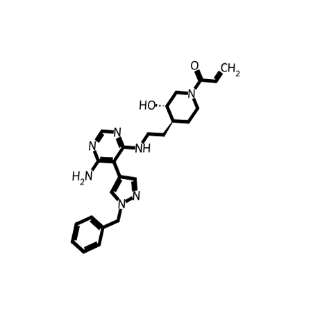 C=CC(=O)N1CC[C@@H](CCNc2ncnc(N)c2-c2cnn(Cc3ccccc3)c2)[C@H](O)C1